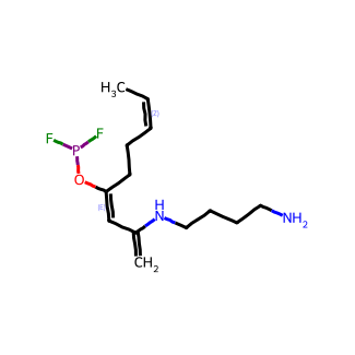 C=C(/C=C(\CC/C=C\C)OP(F)F)NCCCCN